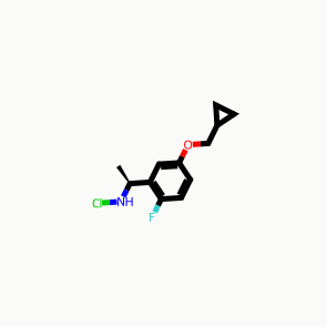 C[C@H](NCl)c1cc(OCC2CC2)ccc1F